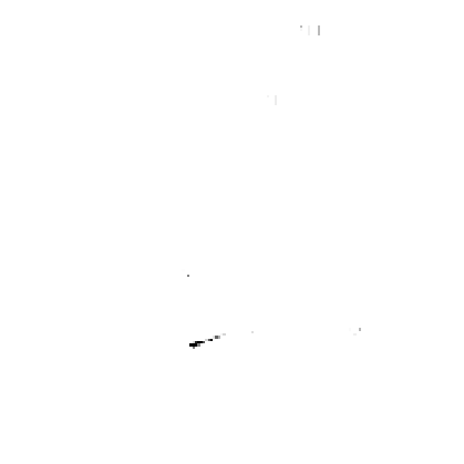 O=C1O[C@]2(CCN(C(=O)c3ccc(N4CCNCC4)cc3Cl)C2)c2ccccc21